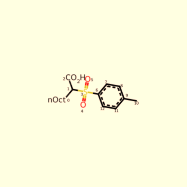 CCCCCCCCC(C(=O)O)S(=O)(=O)c1ccc(C)cc1